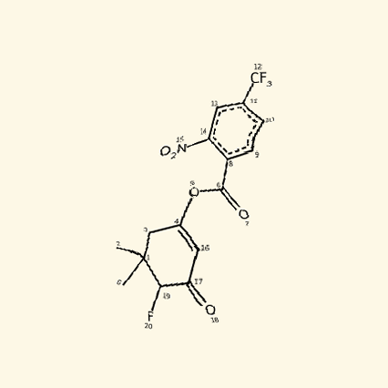 CC1(C)CC(OC(=O)c2ccc(C(F)(F)F)cc2[N+](=O)[O-])=CC(=O)C1F